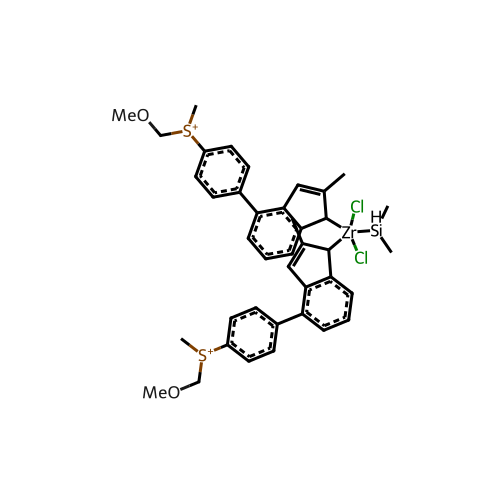 COC[S+](C)c1ccc(-c2cccc3c2C=C(C)[CH]3[Zr]([Cl])([Cl])([CH]2C(C)=Cc3c(-c4ccc([S+](C)COC)cc4)cccc32)[SiH](C)C)cc1